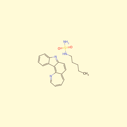 CCCCCNS(N)(=O)=O.c1ccc2ccc3nc4ccccc4c3c2nc1